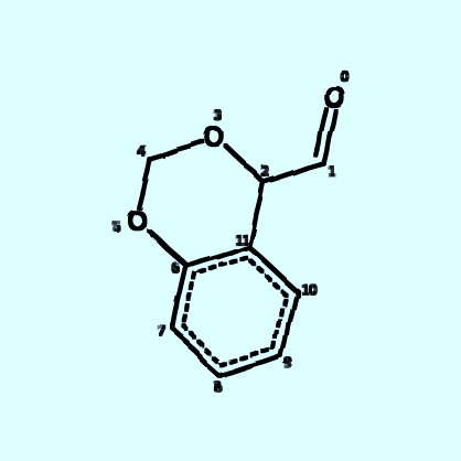 O=CC1OCOc2ccccc21